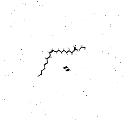 C=C.C=C.CCCCCCCC/C=C\CCCCCCCC(=O)OCC